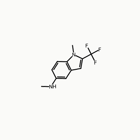 CNc1ccc2c(c1)cc(C(F)(F)F)n2C